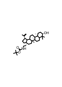 C=C(C)[C@@H]1CC[C@]2(CCNC(=O)OC(C)(C)C)CC[C@]3(C)C(CCC4[C@@]5(C)CC[C@H](O)C(C)(C)C5CC[C@]43C)C12